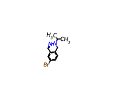 CC(C)N1Cc2ccc(Br)cc2C=N1